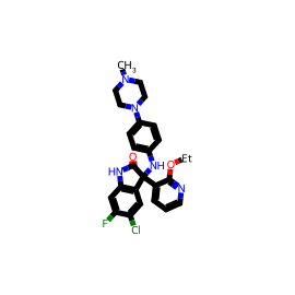 CCOc1ncccc1C1(Nc2ccc(N3CCN(C)CC3)cc2)C(=O)Nc2cc(F)c(Cl)cc21